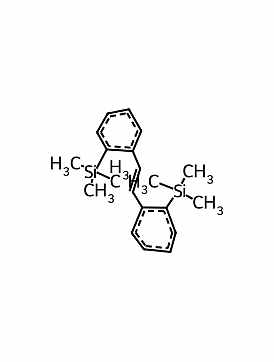 C[Si](C)(C)c1ccccc1/C=C/c1ccccc1[Si](C)(C)C